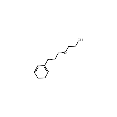 OCCOCCCC1=C[CH]CC=C1